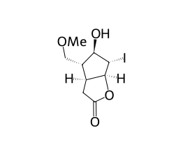 COC[C@@H]1[C@@H](O)[C@H](I)[C@H]2OC(=O)C[C@@H]12